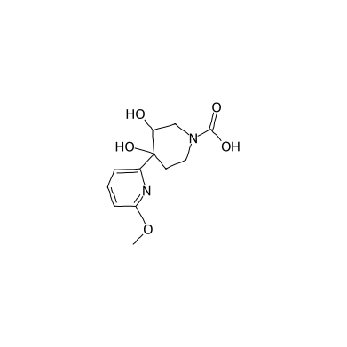 COc1cccc(C2(O)CCN(C(=O)O)CC2O)n1